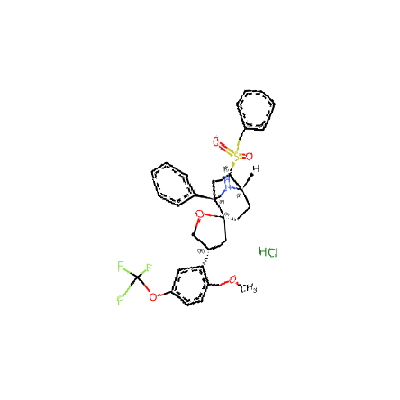 COc1ccc(OC(F)(F)F)cc1[C@@H]1CO[C@]2(CC[C@@H]3N[C@@]2(c2ccccc2)C[C@H]3S(=O)(=O)c2ccccc2)C1.Cl